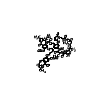 CCC(C)(CNC(=O)CCN1C(=O)C=CC1=O)OCCC(C)(C)C(=O)N[C@H](C(=O)N[C@@H](C)C(=O)Nc1ccc(COC(=O)N2c3cc(OCCCCCOc4cc5c(cc4OC)C(=O)N4C=C(C)C[C@H]4C=N5)c(OC)cc3C(=O)N3C=C(C)C[C@H]3C2C)cc1)C(C)C